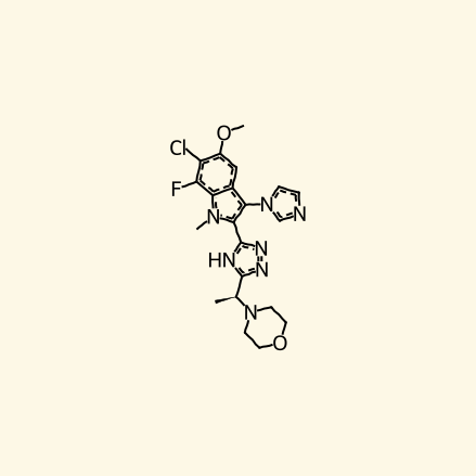 COc1cc2c(-n3ccnc3)c(-c3nnc([C@H](C)N4CCOCC4)[nH]3)n(C)c2c(F)c1Cl